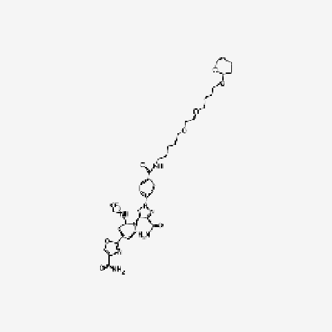 NC(=O)c1coc(C2=CC(NCC(F)(F)F)N(c3cn(-c4ccc(C(=O)NCCCCCOCCOCCCCOC5CCCCO5)cc4)nc3C(N)=O)C=C2)n1